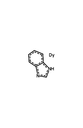 [Dy].c1ccc2[nH]cnc2c1